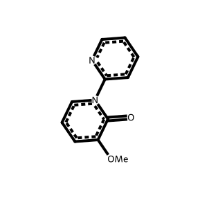 COc1cccn(-c2ccccn2)c1=O